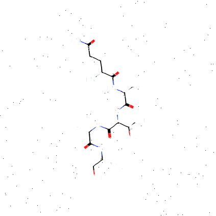 CC(C)[C@H](NC(=O)[C@@H](NC(=O)[C@@H](NC(=O)[C@@H](N)CCC(N)=O)C(C)C)[C@@H](C)O)C(=O)N[C@@H](CO)C(=O)O